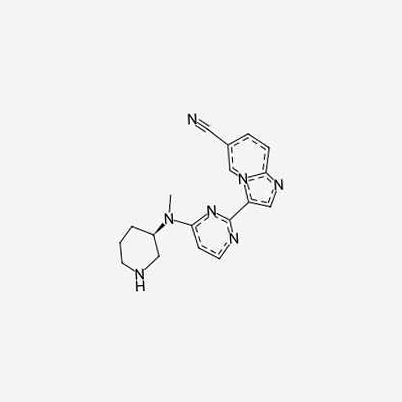 CN(c1ccnc(-c2cnc3ccc(C#N)cn23)n1)[C@@H]1CCCNC1